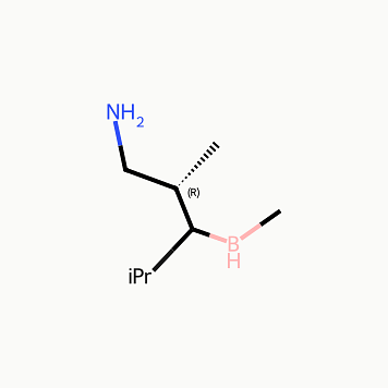 CBC(C(C)C)[C@@H](C)CN